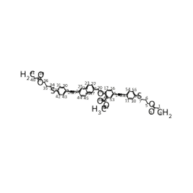 C=CC(=O)OCCCSc1ccc(C#Cc2ccc(OCc3ccc4cc(C#Cc5ccc(SCCCOC(=O)C=C)cc5)ccc4c3)c(C(=O)OC)c2)cc1